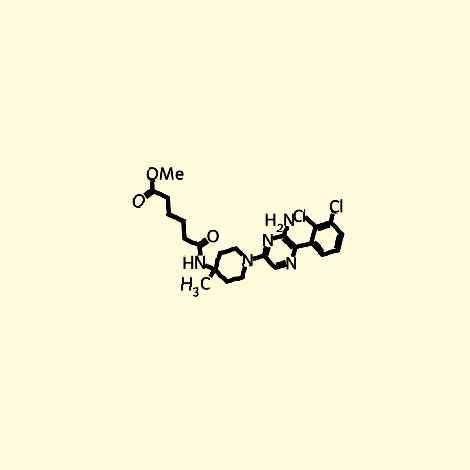 COC(=O)CCCCC(=O)NC1(C)CCN(c2cnc(-c3cccc(Cl)c3Cl)c(N)n2)CC1